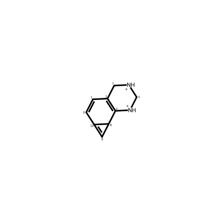 C1=CC2=C(NCNC2)C2C=C12